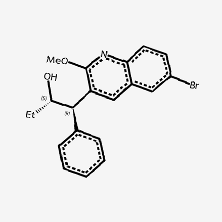 CC[C@H](O)[C@H](c1ccccc1)c1cc2cc(Br)ccc2nc1OC